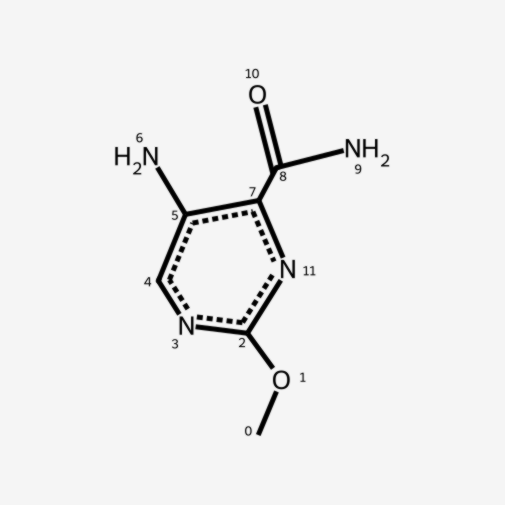 COc1ncc(N)c(C(N)=O)n1